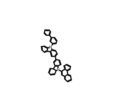 C1=CC2c3cc(-c4ccc5c(c4)c4ccccc4n5-c4cccc(-c5ccccc5)c4)ccc3N(c3cc4ccccc4c4ccccc34)C2C=C1